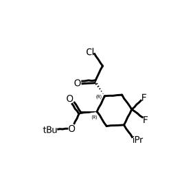 CC(C)C1C[C@@H](C(=O)OC(C)(C)C)[C@H](C(=O)CCl)CC1(F)F